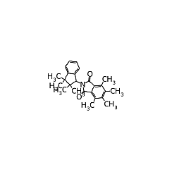 Cc1c(C)c(C)c2c(c1C)C(=O)N(C1c3ccccc3C(C)(C)C1(C)C)C2=O